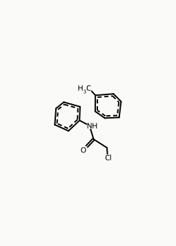 Cc1ccccc1.O=C(CCl)Nc1ccccc1